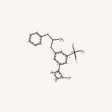 CC(Cc1ccccc1)Cc1cc(-c2[pH][nH]c2C#N)cc(C(C)(F)F)c1